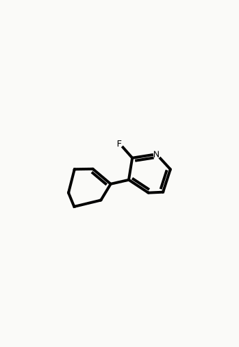 Fc1ncccc1C1=CCCCC1